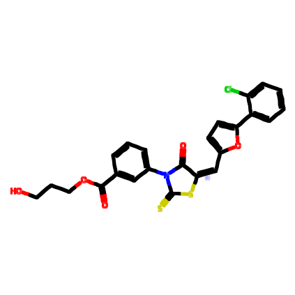 O=C(OCCCO)c1cccc(N2C(=O)/C(=C\c3ccc(-c4ccccc4Cl)o3)SC2=S)c1